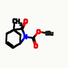 CC(C)(C)OC(=O)N1C(=O)C2(C)CC=CC1C2